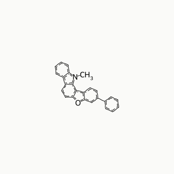 Cn1c2ccccc2c2ccc3oc4cc(-c5ccccc5)ccc4c3c21